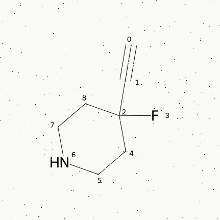 C#CC1(F)CCNCC1